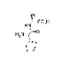 CC(C)[C@H](NC(=O)[C@@H](N)c1ccccc1)C(=O)O